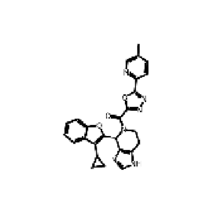 Cc1ccc(-c2nnc(C(=O)N3CCc4[nH]cnc4[C@H]3c3oc4ccccc4c3C3CC3)o2)nc1